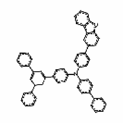 C1=C(c2ccccc2)C=C(c2ccc(N(c3ccc(-c4ccccc4)cc3)c3ccc(-c4ccc5oc6ccccc6c5c4)cc3)cc2)CC1c1ccccc1